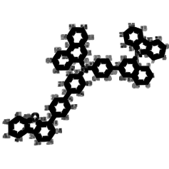 c1ccc2c(-n3c4ccccc4c4ccccc43)cc(-c3ccc(N(c4ccc(-c5ccc(-c6cccc7c6oc6ccccc67)cc5)cc4)c4cc5ccccc5c5ccccc45)cc3)cc2c1